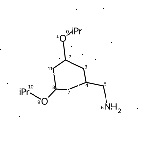 CC(C)OC1CC(CN)CC(OC(C)C)C1